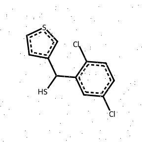 SC(c1ccsc1)c1cc(Cl)ccc1Cl